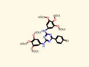 [CH2]Cc1ccc(-c2nc(Nc3cc(OCCCCCCCC)c(OCCCCCCCC)c(OCCCCCCCC)c3)nc(Nc3cc(OCCCCCCCC)c(OCCCCCCCC)c(OCCCCCCCC)c3)n2)cc1